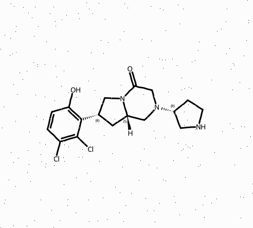 O=C1CN([C@@H]2CCNC2)C[C@@H]2C[C@H](c3c(O)ccc(Cl)c3Cl)CN12